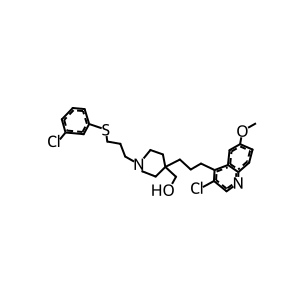 COc1ccc2ncc(Cl)c(CCCC3(CO)CCN(CCCSc4cccc(Cl)c4)CC3)c2c1